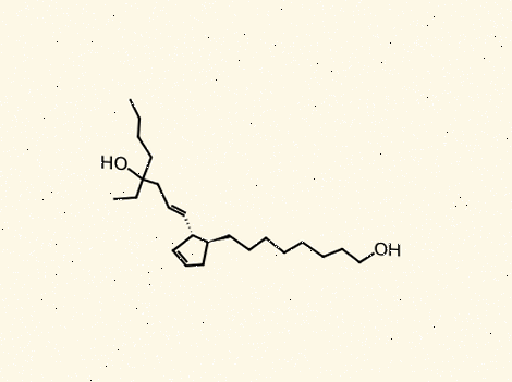 CCCCC(O)(CC)C/C=C/[C@H]1C=CC[C@@H]1CCCCCCCCO